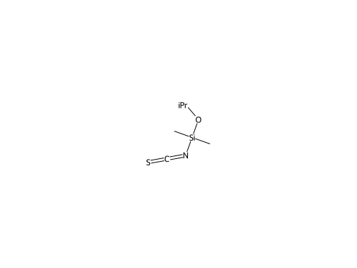 CC(C)O[Si](C)(C)N=C=S